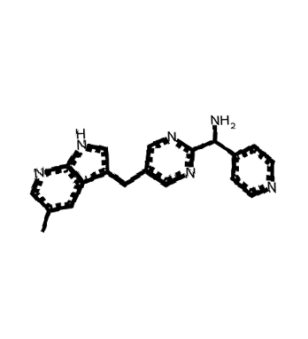 Cc1cnc2[nH]cc(Cc3cnc(C(N)c4ccncc4)nc3)c2c1